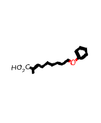 CC(=CCCCCCCOc1ccccc1)C(=O)O